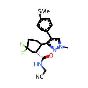 CSc1ccc(-c2cn(C)nc2C2CCC(F)(F)C[C@H]2C(=O)NCC#N)cc1